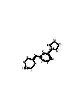 C(=C1CCNCC1)c1cccc(N2CCCC2)c1